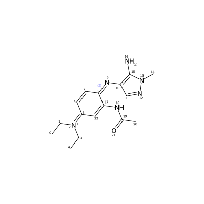 CC[N+](CC)=C1C=C/C(=N/c2cnn(C)c2N)C(NC(C)=O)=C1